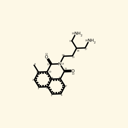 Cc1ccc2cccc3c2c1C(=O)N(CCC(CN)CN)C3=O